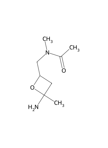 CC(=O)N(C)CC1CC(C)(N)O1